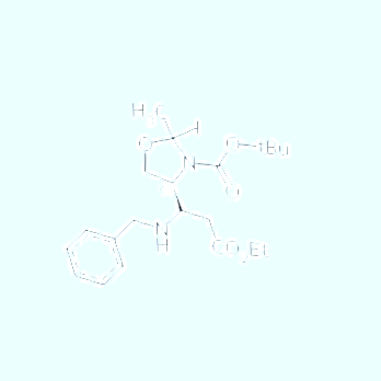 CCOC(=O)CC(NCc1ccccc1)[C@H]1COC(C)(I)N1C(=O)OC(C)(C)C